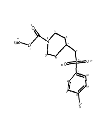 CC(C)(C)OC(=O)N1CCC(CS(=O)(=O)c2ccc(Br)cc2)CC1